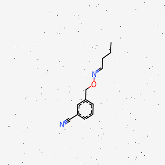 CCCC=NOCc1cccc(C#N)c1